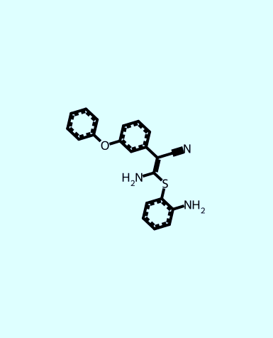 N#C/C(=C(/N)Sc1ccccc1N)c1cccc(Oc2ccccc2)c1